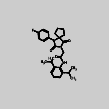 CC(C)c1cccc(C(C)C)c1NC(=O)CN1C(=O)N(c2ccc(F)cc2)C2(CCCC2)C1=O